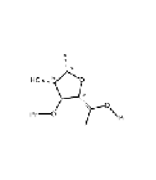 CC(C)OC(C)[C@H]1O[C@@H](C)[C@@H](O)C1OC(C)C